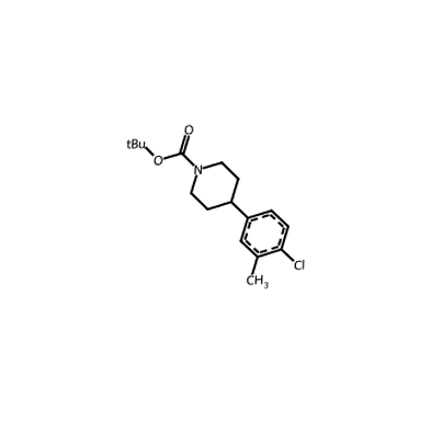 Cc1cc(C2CCN(C(=O)OC(C)(C)C)CC2)ccc1Cl